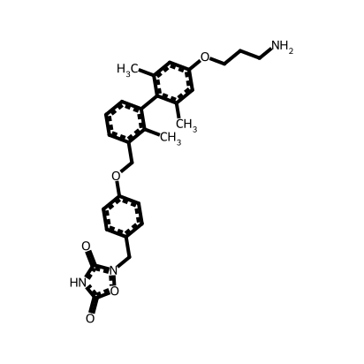 Cc1cc(OCCCN)cc(C)c1-c1cccc(COc2ccc(Cn3oc(=O)[nH]c3=O)cc2)c1C